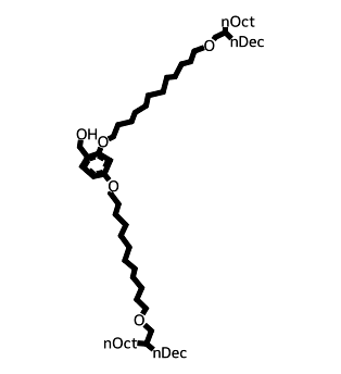 CCCCCCCCCCC(CCCCCCCC)COCCCCCCCCCCCCOc1ccc(CO)c(OCCCCCCCCCCCCOCC(CCCCCCCC)CCCCCCCCCC)c1